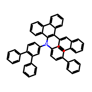 c1ccc(-c2ccc(N(c3ccc(-c4ccccc4)c(-c4ccccc4)c3)c3c(-c4ccc5ccccc5c4)c4ccccc4c4ccccc34)cc2)cc1